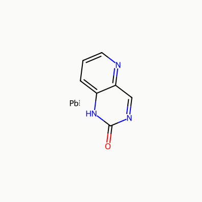 O=c1ncc2ncccc2[nH]1.[Pb]